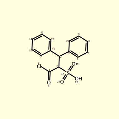 O=C(Cl)C(C(c1ccccc1)c1ccccc1)S(=O)(=O)O